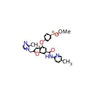 COOSc1ccc(Oc2cc(C(=O)Nc3ccc(C)cn3)cc3oc(Cn4ccnc4C)cc23)cc1